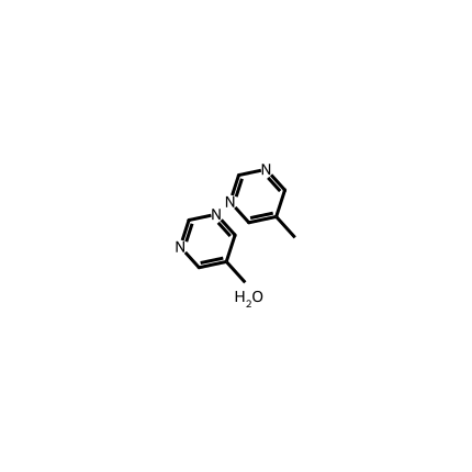 Cc1cncnc1.Cc1cncnc1.O